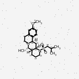 COc1ccc2c(c1)CCN1C[C@H]3CCCN(S(=O)(=O)CC(C)C)[C@H]3C[C@H]21.Cl